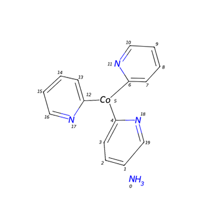 N.c1cc[c]([Co]([c]2ccccn2)[c]2ccccn2)nc1